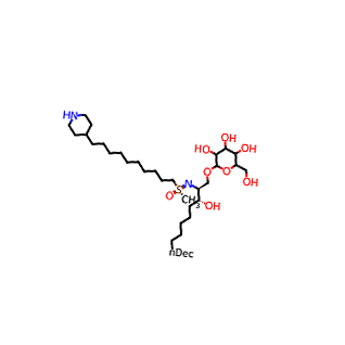 CCCCCCCCCCCCCCC[C@@H](O)[C@H](COC1OC(CO)C(O)C(O)C1O)N=S(C)(=O)CCCCCCCCCCC1CCNCC1